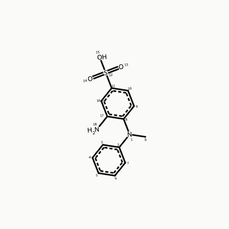 CN(c1ccccc1)c1ccc(S(=O)(=O)O)[c]c1N